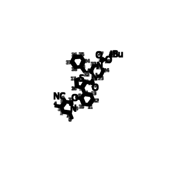 Cc1cc(C)c(C#N)c(Oc2ccccc2-c2ccsc2C(=O)N2CCN(C(=O)OC(C)(C)C)C[C@H]2Cc2ccccc2)n1